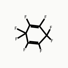 FC1=C(F)C(F)(F)C(F)=C(F)C1(F)F